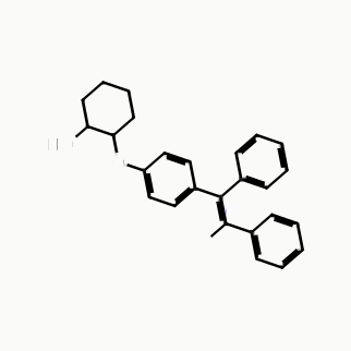 CC/C(=C(/c1ccccc1)c1ccc(OC2CCCCC2O)cc1)c1ccccc1